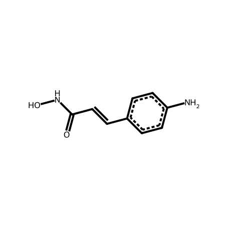 Nc1ccc(C=CC(=O)NO)cc1